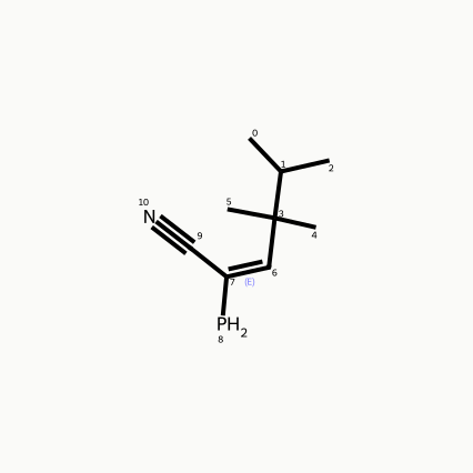 CC(C)C(C)(C)/C=C(/P)C#N